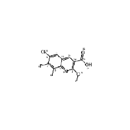 COc1nc2c(C)c(F)c(Cl)cc2cc1C(=O)O